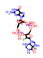 Nc1nc2c(ncn2C2=C3O[PH](O)(O)OCc4oc(N5CN[C@H]6C(=O)NCNC65)c(F)c4O[PH](O)(O)O/C=C(/O2)[C@H]3O)c(=O)[nH]1